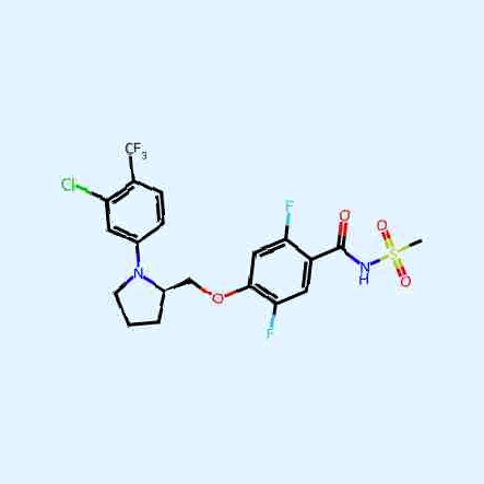 CS(=O)(=O)NC(=O)c1cc(F)c(OC[C@H]2CCCN2c2ccc(C(F)(F)F)c(Cl)c2)cc1F